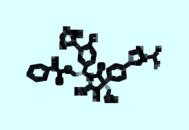 CC(C)(C)C[C@]1(c2ccc(-c3cnn(C(F)F)c3)cc2)NC(=N)N([C@H](COC(=O)Nc2ccccc2)c2ccc(Cl)c(-c3ncn[nH]3)c2)C1=O